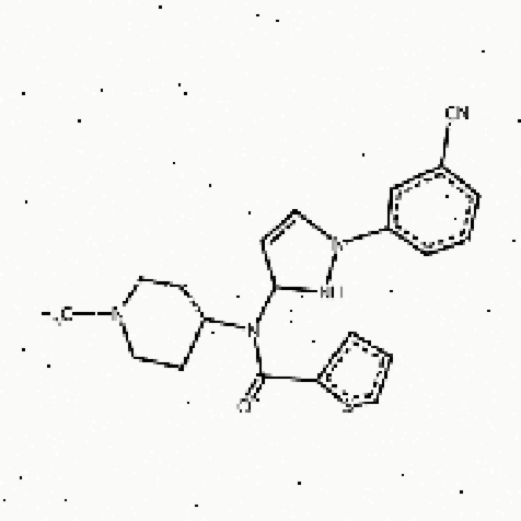 CN1CCC(N(C(=O)c2cccs2)C2C=CN(c3cccc(C#N)c3)N2)CC1